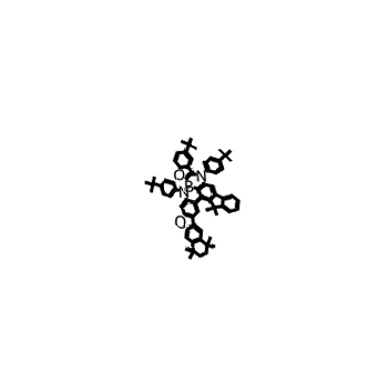 CC(C)(C)c1ccc(N2B3c4oc5ccc(C(C)(C)C)cc5c4N(c4ccc(C(C)(C)C)cc4)c4cc5c(c(c43)-c3cc4c(cc32)oc2cc3c(cc24)C(C)(C)CCC3(C)C)C(C)(C)c2ccccc2-5)cc1